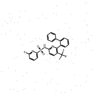 O=S(=O)(Nc1ccc(C(F)(F)F)c(-c2ccccc2-c2ccccc2)n1)c1cccc(F)n1